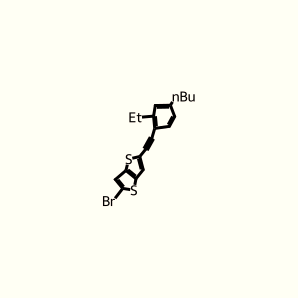 CCCCc1ccc(C#Cc2cc3sc(Br)cc3s2)c(CC)c1